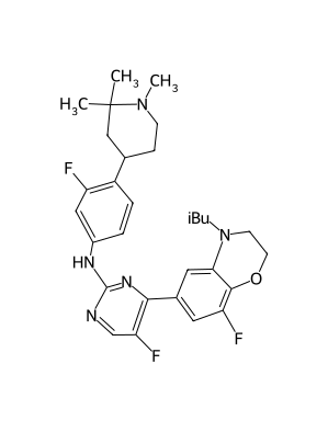 CCC(C)N1CCOc2c(F)cc(-c3nc(Nc4ccc(C5CCN(C)C(C)(C)C5)c(F)c4)ncc3F)cc21